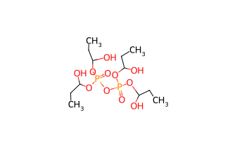 CCC(O)OP(=O)(OC(O)CC)OP(=O)(OC(O)CC)OC(O)CC